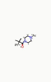 CC(=O)N1CCN(C(=O)C(C)(C)C(C)C)CC1